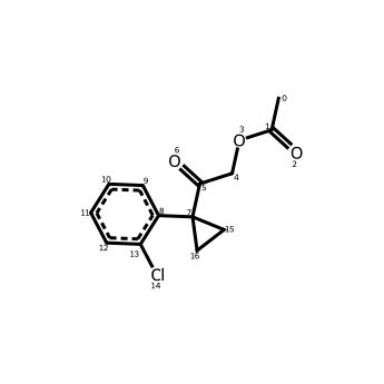 CC(=O)OCC(=O)C1(c2ccccc2Cl)CC1